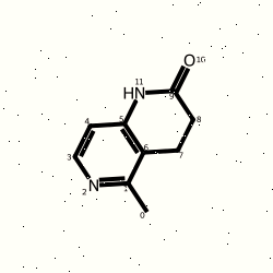 Cc1nccc2c1CCC(=O)N2